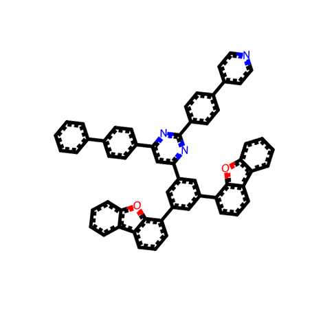 c1ccc(-c2ccc(-c3cc(-c4cc(-c5cccc6c5oc5ccccc56)cc(-c5cccc6c5oc5ccccc56)c4)nc(-c4ccc(-c5ccncc5)cc4)n3)cc2)cc1